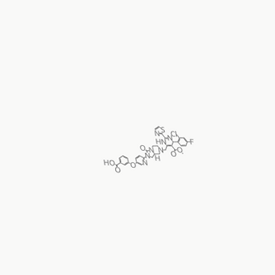 COC(=O)C1=C(CN2CCN3C(=O)N(c4ccc(Oc5cccc(C(=O)O)c5)cn4)C[C@@H]3C2)NC(c2nccs2)=NC1c1ccc(F)cc1Cl